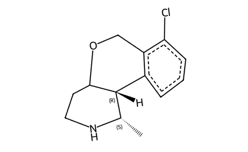 C[C@@H]1NCCC2OCc3c(Cl)cccc3[C@@H]21